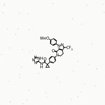 COc1ccc(-n2nc(C(F)(F)F)c3c2C(=O)N(c2ccc(C4(C(=O)Nc5nnn[nH]5)CC4)cc2)CC3)cc1